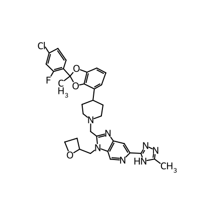 Cc1nnc(-c2cc3nc(CN4CCC(c5cccc6c5OC(C)(c5ccc(Cl)cc5F)O6)CC4)n(CC4CCO4)c3cn2)[nH]1